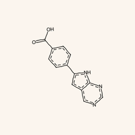 O=C(O)c1ccc(-c2cc3cncnc3[nH]2)cc1